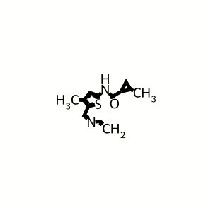 C=C/N=C\c1sc(NC(=O)C2CC2C)cc1C